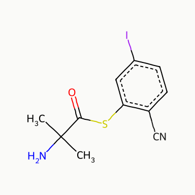 CC(C)(N)C(=O)Sc1cc(I)ccc1C#N